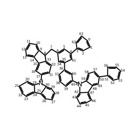 c1ccc(-c2cc(CC3c4ccccc4-c4cc(-n5c6ccccc6c6ccccc65)ccc43)cc(-c3cccc(-n4c5ccccc5c5cc(-c6ccccc6)ccc54)c3)c2)cc1